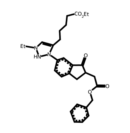 CCOC(=O)CCCCC1=CN(CC)NN1c1ccc2c(c1)C(=O)C(CC(=O)OCc1ccccc1)C2